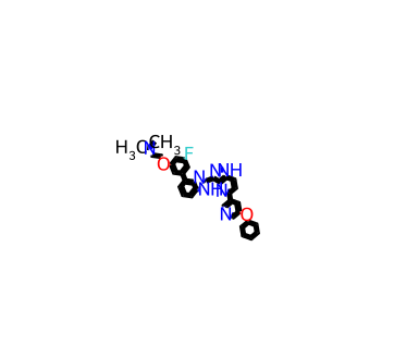 CN(C)CCOc1cc(F)cc(-c2cccc3[nH]c(-c4n[nH]c5ccc(-c6cncc(OC7CCCCC7)c6)nc45)nc23)c1